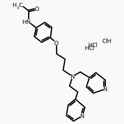 CC(=O)Nc1ccc(OCCCN(CCc2cccnc2)Cc2ccncc2)cc1.Cl.Cl.Cl